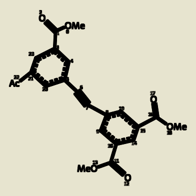 COC(=O)c1cc(C#Cc2cc(C(=O)OC)cc(C(=O)OC)c2)cc(C(C)=O)c1